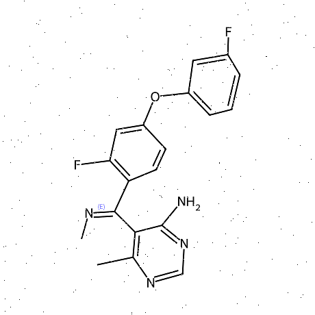 C/N=C(/c1ccc(Oc2cccc(F)c2)cc1F)c1c(C)ncnc1N